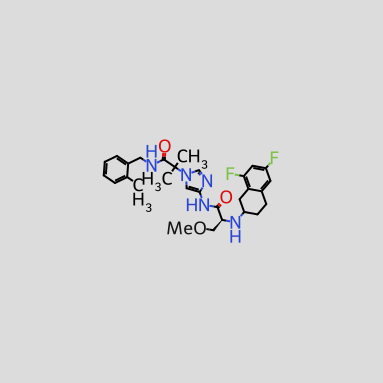 COC[C@H](NC1CCc2cc(F)cc(F)c2C1)C(=O)Nc1cn(C(C)(C)C(=O)NCc2ccccc2C)cn1